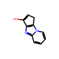 OC1=CCc2c1nc1ccccn21